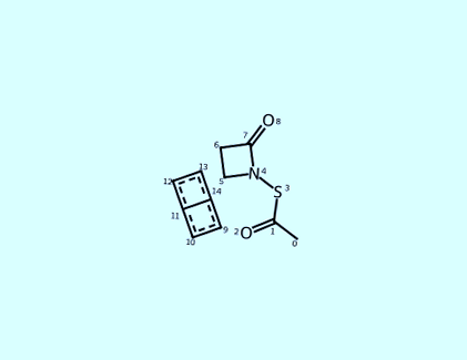 CC(=O)SN1CCC1=O.c1cc2ccc1-2